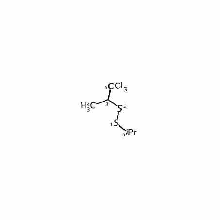 CC(C)SSC(C)C(Cl)(Cl)Cl